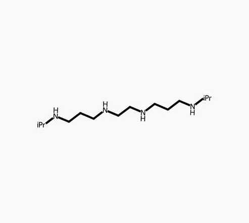 CC(C)NCCCNCCNCCCNC(C)C